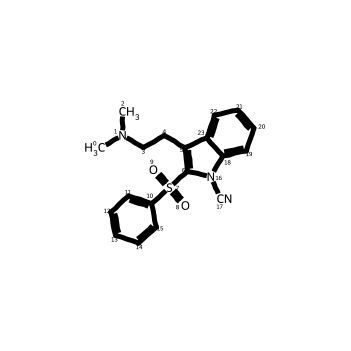 CN(C)CCc1c(S(=O)(=O)c2ccccc2)n(C#N)c2ccccc12